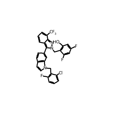 Oc1cc(F)cc(F)c1Cn1nc2c(C(F)(F)F)cccc2c1-c1ccc2ccn(Cc3c(F)cccc3Cl)c2c1